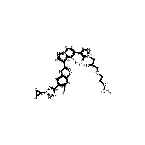 COCCOCC(O)Cn1ncc(-c2ccn3ncc(C(=O)Nc4cc(-c5nnn(C6CC6)n5)c(F)cc4Cl)c3c2)c1C